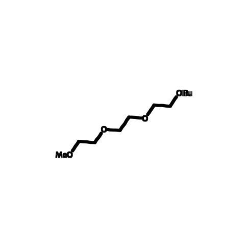 COCCOCCOCCOCC(C)C